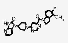 Cc1c(F)ccc2c1CCN2C(=O)c1cc(N2CCC(n3c(=O)[nH]c4ncccc43)CC2)ncn1